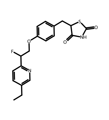 CCc1ccc(C(F)COc2ccc(CC3SC(=O)NC3=O)cc2)nc1